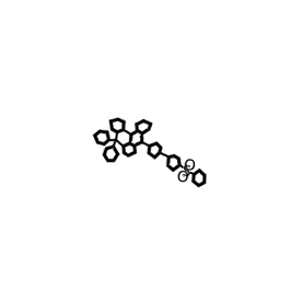 O=S(=O)(c1ccccc1)c1ccc(-c2ccc(-c3c4ccccc4c4c5c(cccc35)C(c3ccccc3)(c3ccccc3)c3ccccc3-4)cc2)cc1